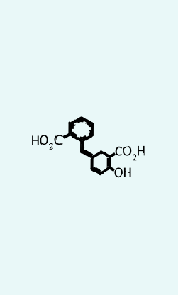 O=C(O)C1=C(O)C=CC(=Cc2ccccc2C(=O)O)C1